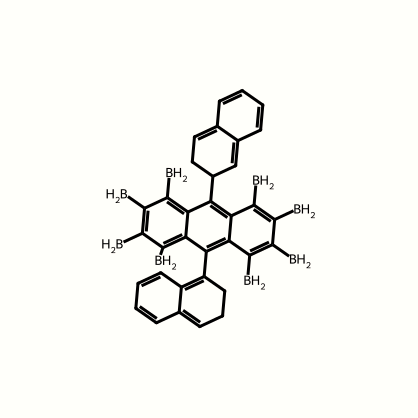 Bc1c(B)c(B)c2c(C3C=c4ccccc4=CC3)c3c(B)c(B)c(B)c(B)c3c(C3=c4ccccc4=CCC3)c2c1B